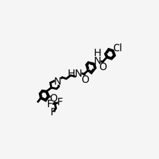 Cc1ccc(C2CCN(CCCCNC(=O)c3ccc(NC(=O)c4ccc(Cl)cc4)cc3)CC2)c(OC(F)(F)CF)c1